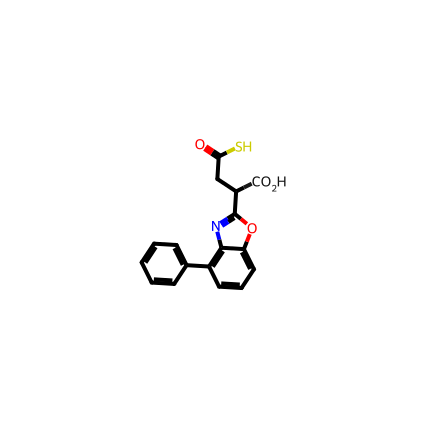 O=C(S)CC(C(=O)O)c1nc2c(-c3ccccc3)cccc2o1